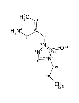 C/C=C(\CN)Cn1ncn(CCC)c1=O